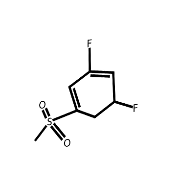 CS(=O)(=O)C1=CC(F)=CC(F)C1